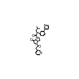 CC(C)CC(C(=O)N1CCC2C1C(=O)CN2C(=O)Cc1cccnc1)c1cccc(-c2cccnc2)c1